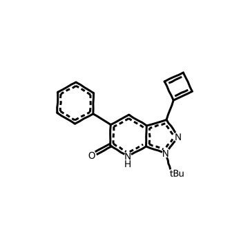 CC(C)(C)n1nc(C2=CC=C2)c2cc(-c3ccccc3)c(=O)[nH]c21